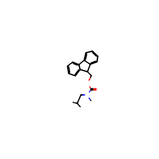 CC(CN(C)C(=O)OCC1c2ccccc2-c2ccccc21)C(=O)O